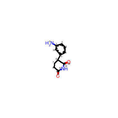 Nc1cccc(C2CCC(=O)NC2=O)c1